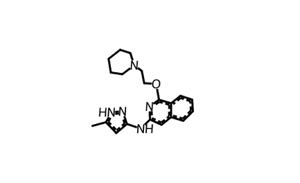 Cc1cc(Nc2cc3ccccc3c(OCCN3CCCCC3)n2)n[nH]1